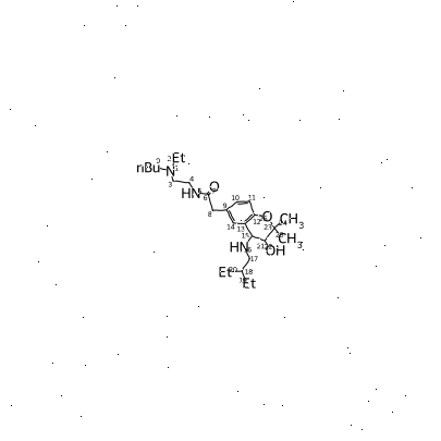 CCCCN(CC)CCNC(=O)Cc1ccc2c(c1)C(NCC(CC)CC)C(O)C(C)(C)O2